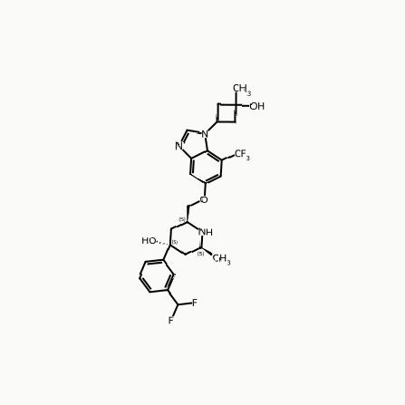 C[C@H]1C[C@@](O)(c2cccc(C(F)F)c2)C[C@@H](COc2cc(C(F)(F)F)c3c(c2)ncn3C2CC(C)(O)C2)N1